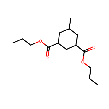 CCCOC(=O)C1CC(C)CC(C(=O)OCCC)C1